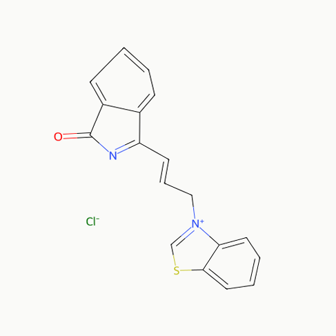 O=C1N=C(C=CC[n+]2csc3ccccc32)c2ccccc21.[Cl-]